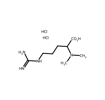 CN(C)C(CCCNC(=N)N)C(=O)O.Cl.Cl